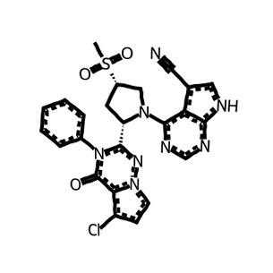 CS(=O)(=O)[C@H]1C[C@@H](c2nn3ccc(Cl)c3c(=O)n2-c2ccccc2)N(c2ncnc3[nH]cc(C#N)c23)C1